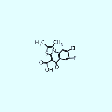 Cc1sc2c(C(=O)O)c(=O)c3cc(F)c(Cl)cc3n2c1C